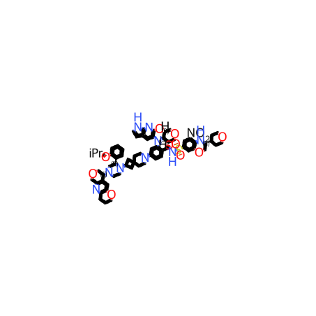 CC(C)Oc1ccccc1[C@@H]1CN([C@@H]2COCc3nc4c(cc32)OCCC4)CCN1C1CC2(CCN(c3ccc(C(=O)NS(=O)(=O)c4cc5c(c([N+](=O)[O-])c4)N[C@H](C4CCOCC4)CO5)c(N4c5cc6cc[nH]c6nc5O[C@H]5COCC[C@@H]54)c3)CC2)C1